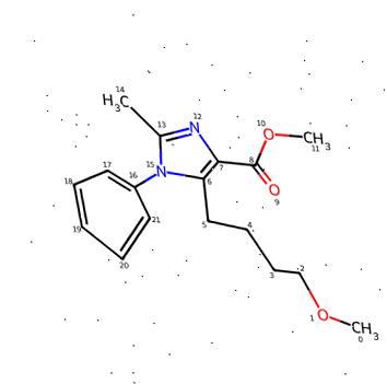 COCCCCc1c(C(=O)OC)nc(C)n1-c1ccccc1